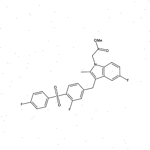 COC(=O)Cn1c(C)c(Cc2ccc(S(=O)(=O)c3ccc(F)cc3)c(F)c2)c2cc(F)ccc21